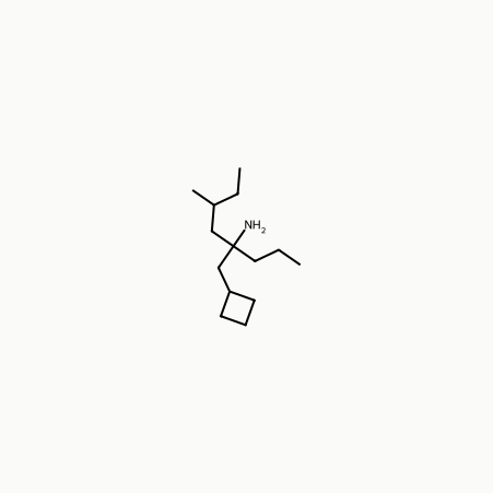 CCCC(N)(CC(C)CC)CC1CCC1